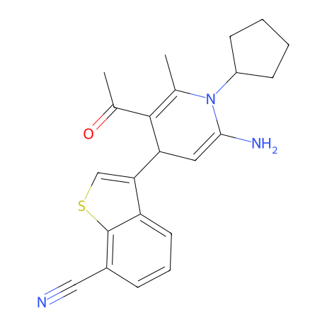 CC(=O)C1=C(C)N(C2CCCC2)C(N)=CC1c1csc2c(C#N)cccc12